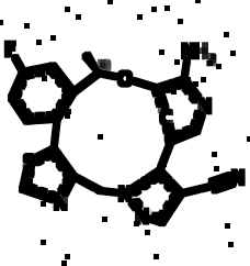 C[C@H]1Oc2cc(cnc2N)-c2c(C#N)cnn2Cc2ncsc2-c2ccc(F)cc21